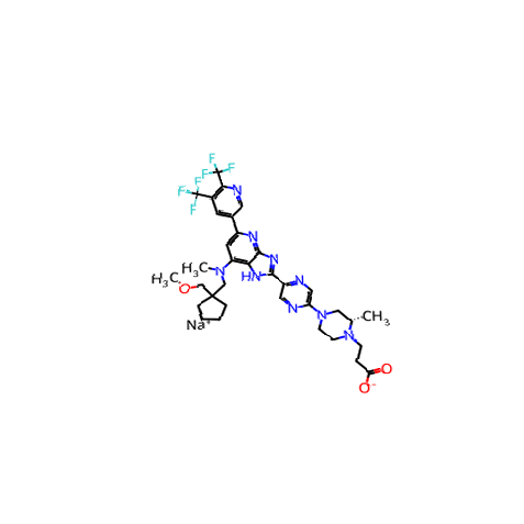 COCC1(CN(C)c2cc(-c3cnc(C(F)(F)F)c(C(F)(F)F)c3)nc3nc(-c4cnc(N5CCN(CCC(=O)[O-])[C@@H](C)C5)cn4)[nH]c23)CCCC1.[Na+]